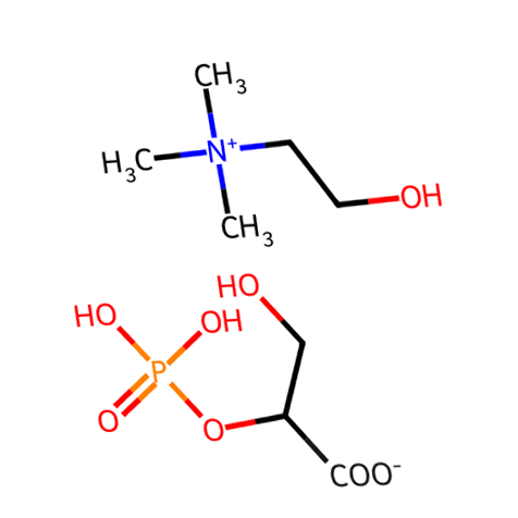 C[N+](C)(C)CCO.O=C([O-])C(CO)OP(=O)(O)O